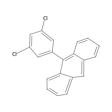 Clc1cc(Cl)cc(-c2c3ccccc3cc3ccccc23)c1